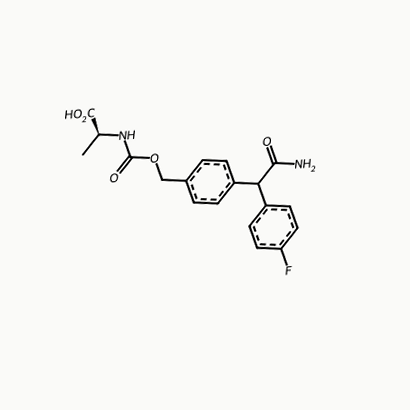 C[C@H](NC(=O)OCc1ccc(C(C(N)=O)c2ccc(F)cc2)cc1)C(=O)O